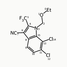 CCOCn1c(C(F)(F)F)c(C#N)c2ccc(Cl)c(Cl)c21